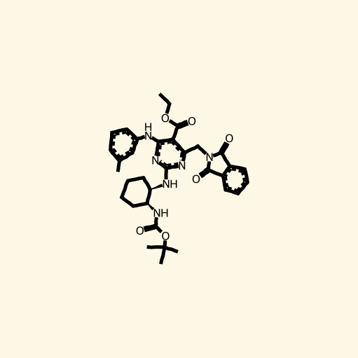 CCOC(=O)c1c(CN2C(=O)c3ccccc3C2=O)nc(N[C@@H]2CCCC[C@@H]2NC(=O)OC(C)(C)C)nc1Nc1cccc(C)c1